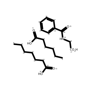 CCCCCC(=O)O.CCCCCCC(=O)O.O=C(O)CNC(=O)c1ccccc1